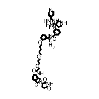 C[C@H](NC(=O)c1cccc(NC2(C(=N)NC(=N)c3ccncc3)CCNCC2)c1)c1cccc(OCCCCCOCCCOCC(=O)Nc2cccc3c2CN(C2CCC(=O)NC2=O)C3=O)c1